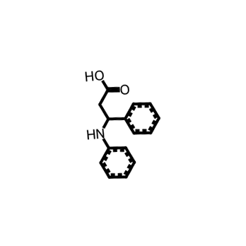 O=C(O)CC(Nc1ccccc1)c1ccccc1